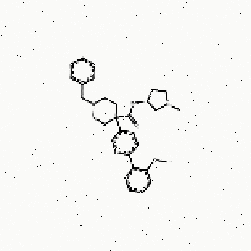 CCOc1ccccc1-c1ccc(C2(C(=O)N[C@H]3CCN(C)C3)CCN(Cc3ccccc3)CC2)cn1